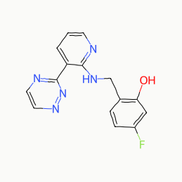 Oc1cc(F)ccc1CNc1ncccc1-c1nccnn1